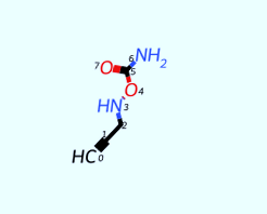 C#CCNOC(N)=O